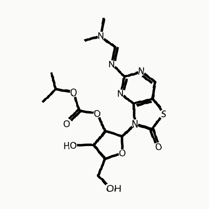 CC(C)OC(=O)OC1C(O)C(CO)OC1n1c(=O)sc2cnc(N=CN(C)C)nc21